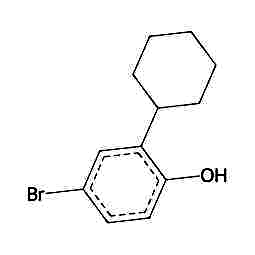 Oc1ccc(Br)cc1C1CCCCC1